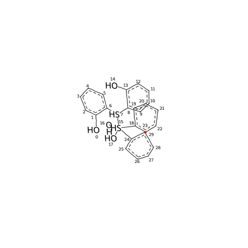 Oc1ccccc1[SH](c1ccccc1O)[SH](O)(O)(c1ccccc1)c1ccccc1